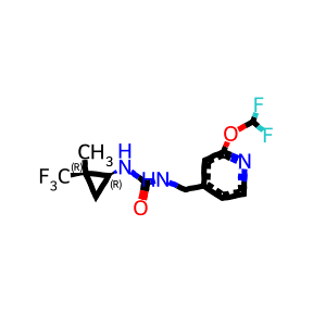 C[C@@]1(C(F)(F)F)C[C@H]1NC(=O)NCc1ccnc(OC(F)F)c1